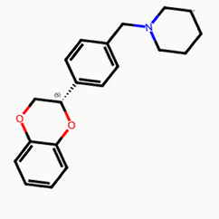 [CH]1CCCN(Cc2ccc([C@H]3COc4ccccc4O3)cc2)C1